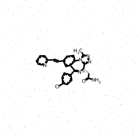 Cc1nnc2n1-c1ccc(C#Cc3ccccn3)cc1C(c1ccc(Cl)cc1)=N[C@H]2CC(N)=O